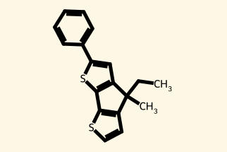 CCC1(C)c2ccsc2-c2sc(-c3ccccc3)cc21